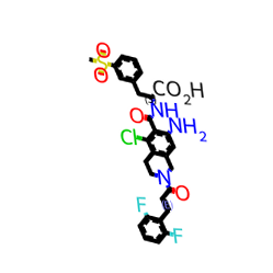 CS(=O)(=O)c1cccc(C[C@H](NC(=O)c2c(N)cc3c(c2Cl)CCN(C(=O)/C=C/c2c(F)cccc2F)C3)C(=O)O)c1